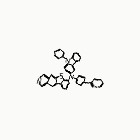 c1ccc(-c2ccc(N(c3ccc4c(c3)c3ccccc3n4-c3ccccc3)c3cccc4c3sc3cc5ccncc5cc34)cc2)cc1